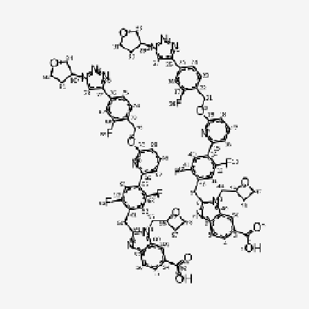 O=C(O)c1ccc2nc(Cc3cc(F)c(-c4cccc(OCc5ccc(-c6cn(C7CCOC7)nn6)cc5F)n4)cc3F)n(CC3CCO3)c2c1.O=C(O)c1ccc2nc(Cc3cc(F)c(-c4cccc(OCc5ccc(-c6cn(C7CCOC7)nn6)cc5F)n4)cc3F)n(CC3CCO3)c2c1